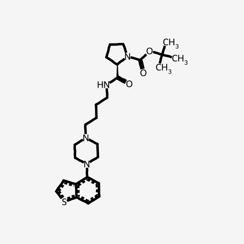 CC(C)(C)OC(=O)N1CCC[C@@H]1C(=O)NCCCCN1CCN(c2cccc3sccc23)CC1